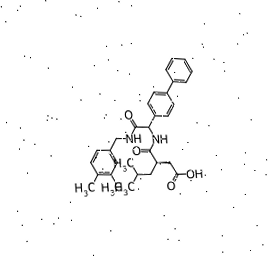 Cc1ccc(CNC(=O)C(NC(=O)[C@@H](CC(=O)O)CC(C)C)c2ccc(-c3ccccc3)cc2)cc1C